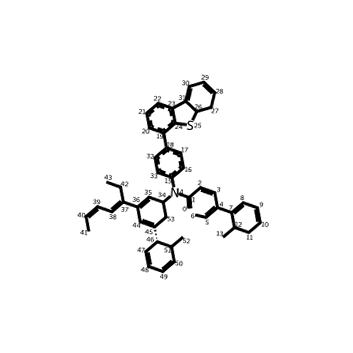 C=C(/C=C\C(=C/C)C1=CC=CCC1C)N(c1ccc(-c2cccc3c2SC2CC=CC=C32)cc1)C1C=C(/C(=C/C=C\C)CC)C=C([C@H]2C=CC=CC2C)C1